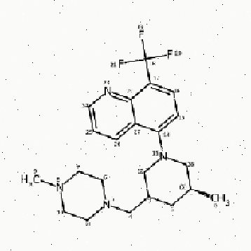 C[C@H]1CC(CN2CCN(C)CC2)CN(c2ccc(C(F)(F)F)c3ncccc23)C1